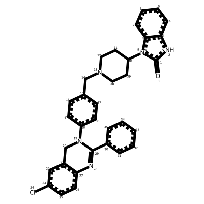 O=c1[nH]c2ccccc2n1C1CCN(Cc2ccc(N3Cc4cc(Cl)ccc4N=C3c3ccccc3)cc2)CC1